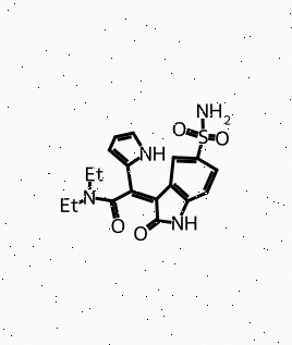 CCN(CC)C(=O)C(=C1C(=O)Nc2ccc(S(N)(=O)=O)cc21)c1ccc[nH]1